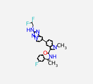 C[C@H](NC(=O)c1cn(C)c2ccc(-c3ccn4nc(NCC(F)F)nc4c3)cc12)c1cccc(F)c1